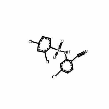 N#Cc1ccc(Cl)cc1NS(=O)(=O)c1ccc(Cl)cc1Cl